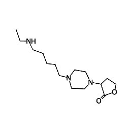 CCNCCCCCN1CCN(C2CCOC2=O)CC1